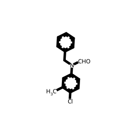 Cc1cc(N(C=O)Cc2ccccc2)ccc1Cl